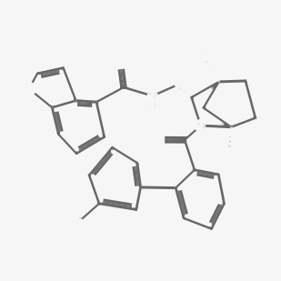 O=C(NC[C@@H]1[C@H]2CC[C@H](C2)N1C(=O)c1ccccc1-c1cccc(Cl)c1)c1cccc2occc12